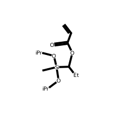 C=CC(=O)OC(CC)[Si](C)(OC(C)C)OC(C)C